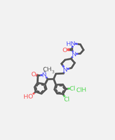 CN1C(=O)c2cc(O)ccc2C1C(CCN1CCC(N2CCCNC2=O)CC1)c1ccc(Cl)c(Cl)c1.Cl